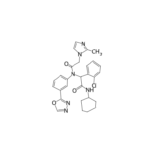 Cc1nccn1CC(=O)N(c1cccc(-c2nnco2)c1)C(C(=O)NC1CCCCC1)c1ccccc1Cl